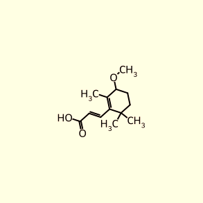 COC1CCC(C)(C)C(C=CC(=O)O)=C1C